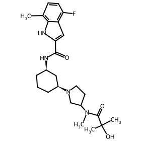 Cc1ccc(F)c2cc(C(=O)N[C@@H]3CCC[C@H](N4CCC(N(C)C(=O)C(C)(C)O)C4)C3)[nH]c12